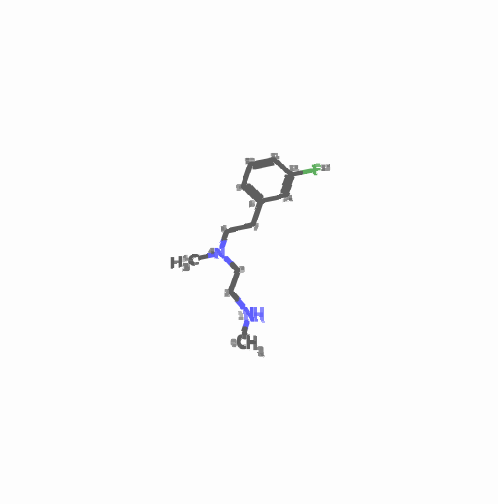 CNCCN(C)CCc1cccc(F)c1